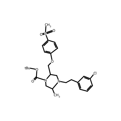 CC1CN(C(=O)OC(C)(C)C)C(COc2ccc(S(C)(=O)=O)cc2)CN1CCc1cccc(Cl)c1